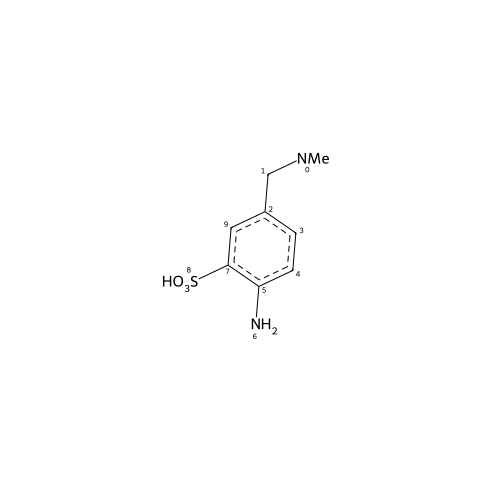 CNCc1ccc(N)c(S(=O)(=O)O)c1